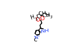 [C-]#[N+]c1ccc2c(CCC(=O)OC(C)(C)C)c[nH]c2c1